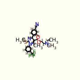 CCN(C)CCOC(=O)C1=C(C)N(c2cccc(C(F)(F)F)c2)C(SC)=NC1c1ccc(C#N)cc1